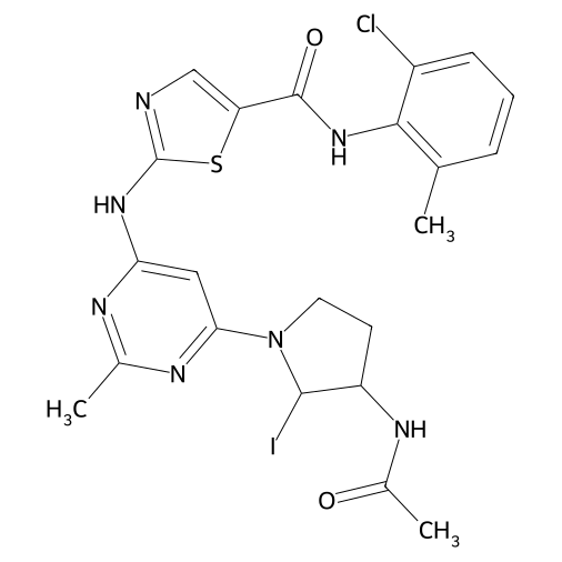 CC(=O)NC1CCN(c2cc(Nc3ncc(C(=O)Nc4c(C)cccc4Cl)s3)nc(C)n2)C1I